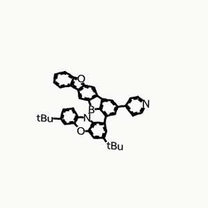 CC(C)(C)c1ccc2c(c1)Oc1cc(C(C)(C)C)cc3c1N2B1c2cc4c(cc2-c2cc(-c5ccncc5)cc-3c21)oc1ccccc14